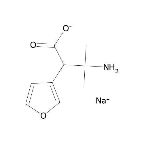 CC(C)(N)C(C(=O)[O-])c1ccoc1.[Na+]